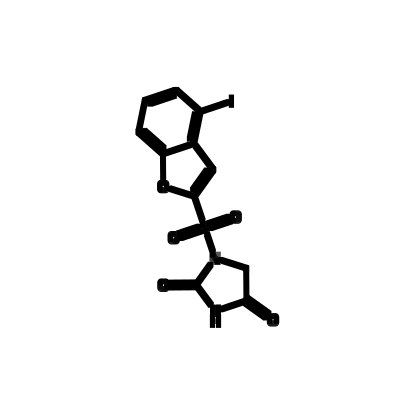 O=C1CN(S(=O)(=O)c2cc3c(I)cccc3o2)C(=O)N1